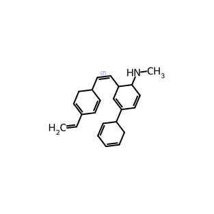 C=CC1=CCC(/C=C\C2C=C(C3C=CC=CC3)C=CC2NC)C=C1